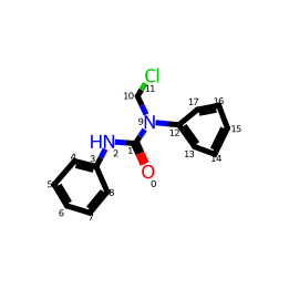 O=C(Nc1ccccc1)N(CCl)c1ccccc1